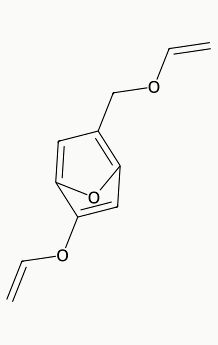 C=COCc1cc2oc1cc2OC=C